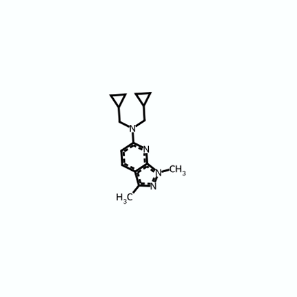 Cc1nn(C)c2nc(N(CC3CC3)CC3CC3)ccc12